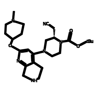 CN1CCC(Oc2cc(N3CCN(C(=O)OC(C)(C)C)[C@@H](CC#N)C3)c3c(n2)CNCC3)CC1